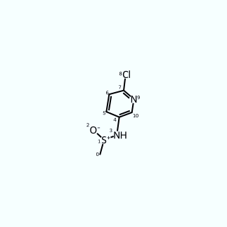 C[S+]([O-])Nc1ccc(Cl)nc1